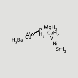 [BaH2].[CaH2].[Cu].[MgH2].[Ni].[PH2][Mo].[SrH2].[V]